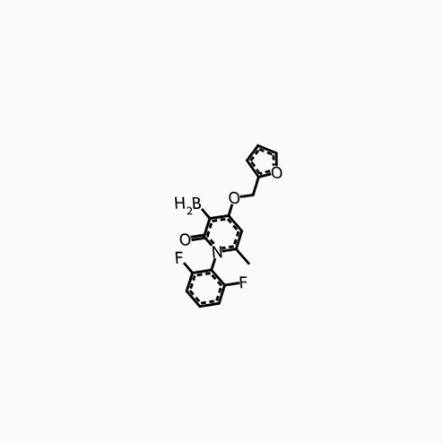 Bc1c(OCc2ccco2)cc(C)n(-c2c(F)cccc2F)c1=O